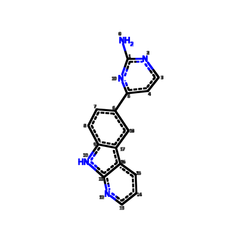 Nc1nccc(-c2ccc3[nH]c4ncccc4c3c2)n1